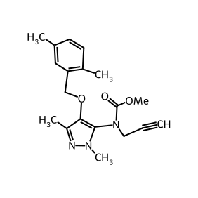 C#CCN(C(=O)OC)c1c(OCc2cc(C)ccc2C)c(C)nn1C